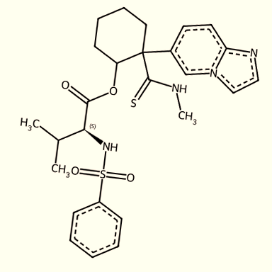 CNC(=S)C1(c2ccc3nccn3c2)CCCCC1OC(=O)[C@@H](NS(=O)(=O)c1ccccc1)C(C)C